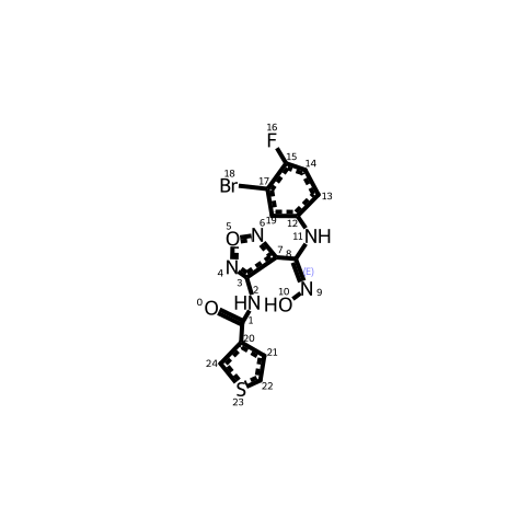 O=C(Nc1nonc1/C(=N\O)Nc1ccc(F)c(Br)c1)c1ccsc1